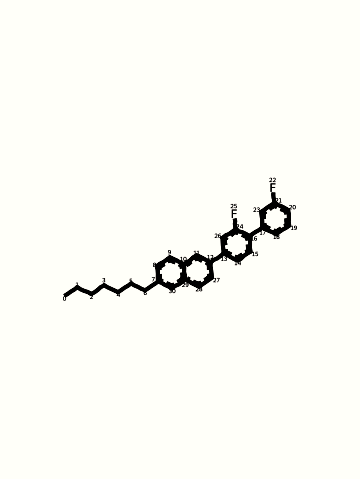 CCCCCCCc1ccc2cc(-c3ccc(-c4cccc(F)c4)c(F)c3)ccc2c1